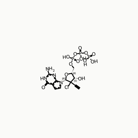 C#CC1(Cl)[C@@H](O)[C@@H](COP(=O)(O)OP(=O)(O)OP(=O)(O)O)O[C@H]1n1ccc2c(=O)[nH]c(N)nc21